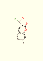 Cc1ccc2cc(C(=O)F)c(=O)oc2c1